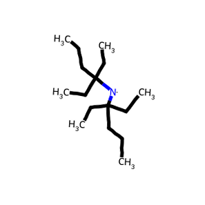 CCCC(CC)(CC)[N]C(CC)(CC)CCC